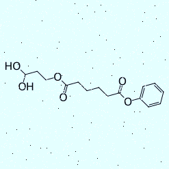 O=C(CCCCC(=O)Oc1ccccc1)OCCC(O)O